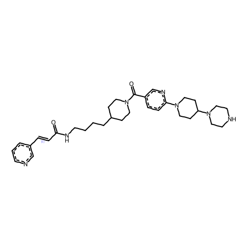 O=C(/C=C/c1cccnc1)NCCCCC1CCN(C(=O)c2ccc(N3CCC(N4CCNCC4)CC3)nc2)CC1